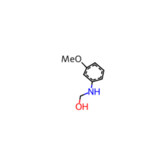 COc1cccc(NCO)c1